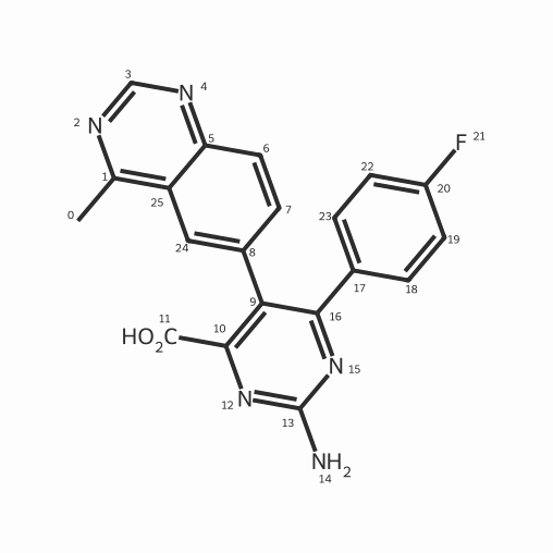 Cc1ncnc2ccc(-c3c(C(=O)O)nc(N)nc3-c3ccc(F)cc3)cc12